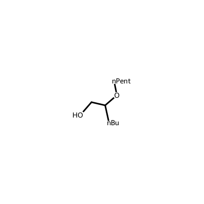 CCCCCOC(CO)CCCC